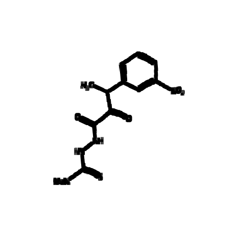 CNC(=S)NNC(=O)C(=O)C(C)c1cccc([N+](=O)[O-])c1